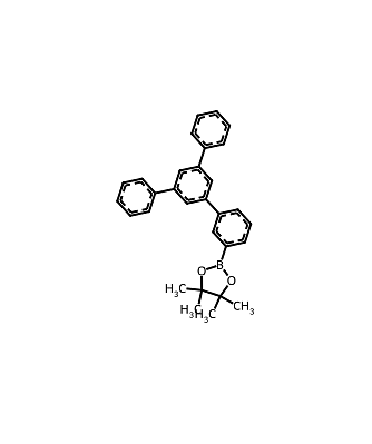 CC1(C)OB(c2cccc(-c3cc(-c4ccccc4)cc(-c4ccccc4)c3)c2)OC1(C)C